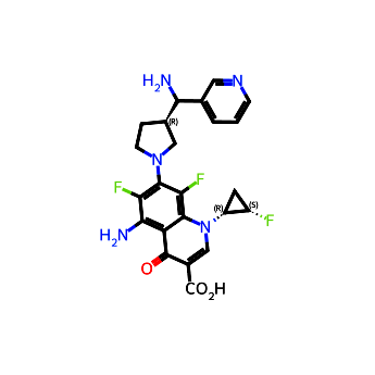 Nc1c(F)c(N2CC[C@@H](C(N)c3cccnc3)C2)c(F)c2c1c(=O)c(C(=O)O)cn2[C@@H]1C[C@@H]1F